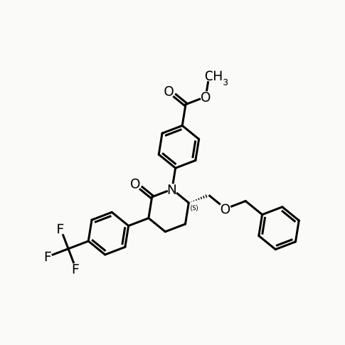 COC(=O)c1ccc(N2C(=O)C(c3ccc(C(F)(F)F)cc3)CC[C@H]2COCc2ccccc2)cc1